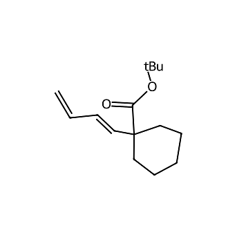 C=C/C=C/C1(C(=O)OC(C)(C)C)CCCCC1